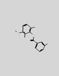 O=C(O)Nc1ccc(F)c(NC(=O)c2cccc(C(F)(F)F)c2)c1F